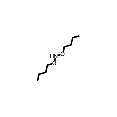 CCCCONOCCCC